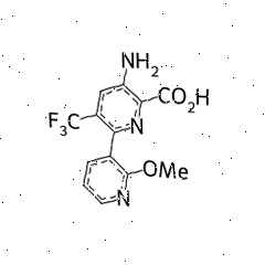 COc1ncccc1-c1nc(C(=O)O)c(N)cc1C(F)(F)F